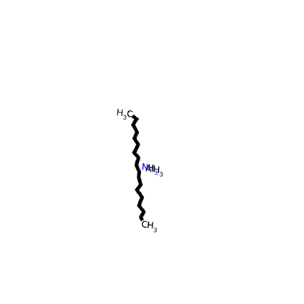 CCCCCCCCCCCCCCCCCC.N.[AlH3]